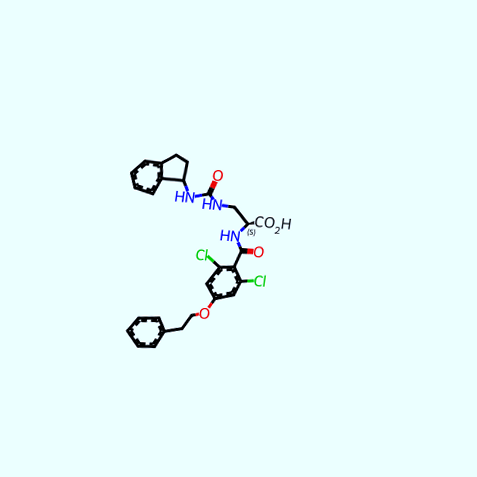 O=C(NC[C@H](NC(=O)c1c(Cl)cc(OCCc2ccccc2)cc1Cl)C(=O)O)NC1CCc2ccccc21